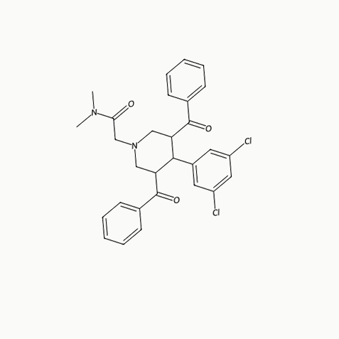 CN(C)C(=O)CN1CC(C(=O)c2ccccc2)C(c2cc(Cl)cc(Cl)c2)C(C(=O)c2ccccc2)C1